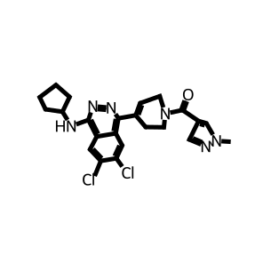 Cn1cc(C(=O)N2CC=C(c3nnc(NC4CCCC4)c4cc(Cl)c(Cl)cc34)CC2)cn1